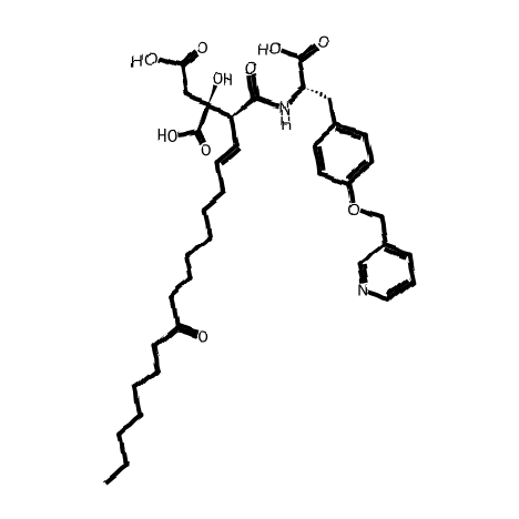 CCCCCCCC(=O)CCCCCC/C=C/[C@H](C(=O)N[C@@H](Cc1ccc(OCc2cccnc2)cc1)C(=O)O)[C@@](O)(CC(=O)O)C(=O)O